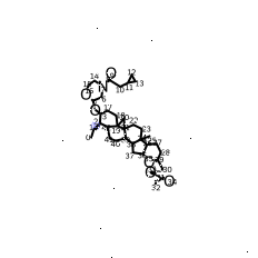 C/C=C1/C(OC2CN(C(=O)CC3CC3)CCO2)CCC23CC24CCC2(C)C5CCC(CS(C)(=O)=O)OC5CC2C4CCC13